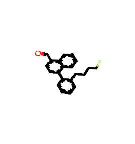 O=Cc1ccc(-c2ccccc2CCCCF)c2ccccc12